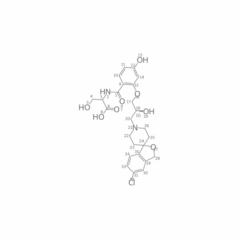 O=C(NC(CO)C(=O)O)c1ccc(O)cc1OC[C@@H](O)CN1CCC2(CC1)OCc1cc(Cl)ccc12